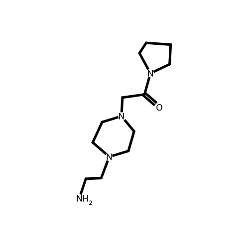 NCCN1CCN(CC(=O)N2CCCC2)CC1